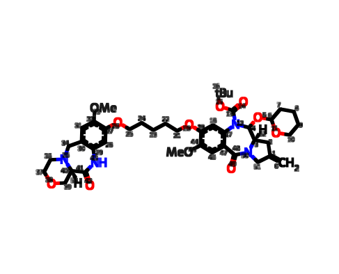 C=C1C[C@H]2C(OC3CCCCO3)N(C(=O)OC(C)(C)C)c3cc(OCCCCCOc4cc5c(cc4OC)CN4CCOC[C@H]4C(=O)N5)c(OC)cc3C(=O)N2C1